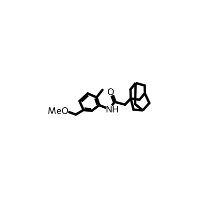 COCc1ccc(C)c(NC(=O)CC23CC4CC(CC(C4)C2)C3)c1